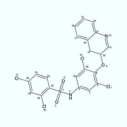 O=S(=O)(Nc1cc(Cl)c(OC2C=Nc3ccccc3C2)c(Cl)c1)c1ccc(Cl)cc1Cl